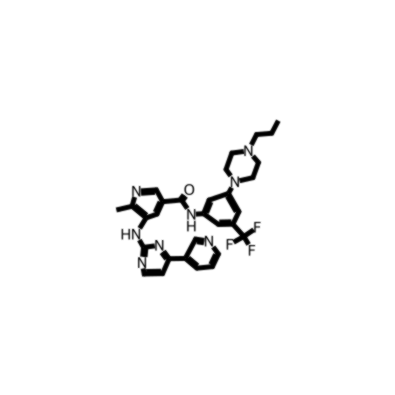 CCCN1CCN(c2cc(NC(=O)c3cnc(C)c(Nc4nccc(-c5cccnc5)n4)c3)cc(C(F)(F)F)c2)CC1